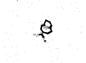 CC(=C=O)[C@H]1C/C=C(\C)CC/C=C(\C)CC1